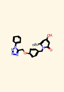 CCCCc1cc(O)cc(=O)n1Cc1ccc(OCc2nnnn2-c2ccccc2)cc1